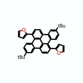 CC(C)(C)c1ccc2c(c1)c1ccc(-c3ccco3)c3c4ccc(C(C)(C)C)cc4c4ccc(-c5ccco5)c2c4c13